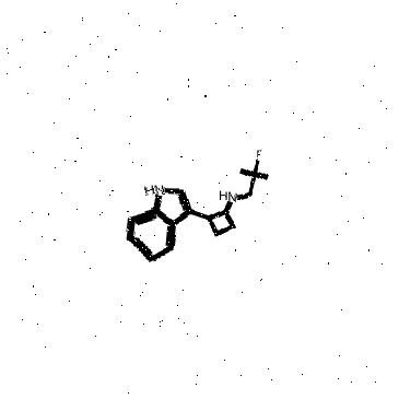 CC(C)(F)CNC1CCC1c1c[nH]c2ccccc12